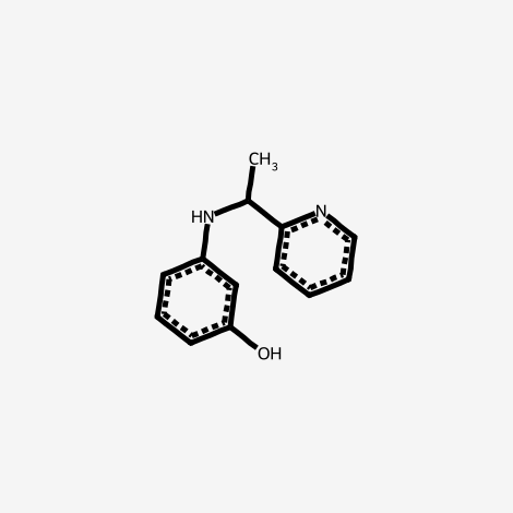 CC(Nc1cccc(O)c1)c1ccccn1